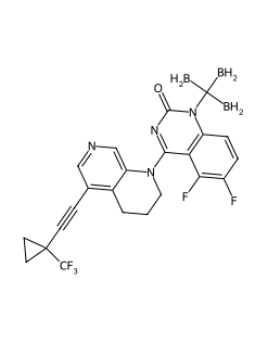 BC(B)(B)n1c(=O)nc(N2CCCc3c(C#CC4(C(F)(F)F)CC4)cncc32)c2c(F)c(F)ccc21